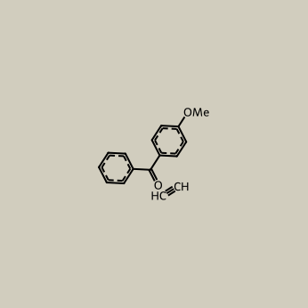 C#C.COc1ccc(C(=O)c2ccccc2)cc1